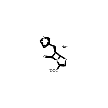 O=C([O-])C1=CSC2/C(=C/c3ccsc3)C(=O)N12.[Na+]